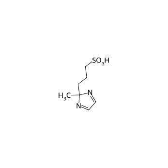 CC1(CCCS(=O)(=O)O)N=CC=N1